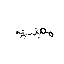 CC(C)S(=O)(=O)NCCCCC(=O)Nc1cccc(-c2ccco2)c1